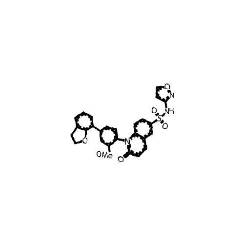 COc1cc(-c2cccc3c2OCC3)ccc1-n1c(=O)ccc2cc(S(=O)(=O)Nc3ccon3)ccc21